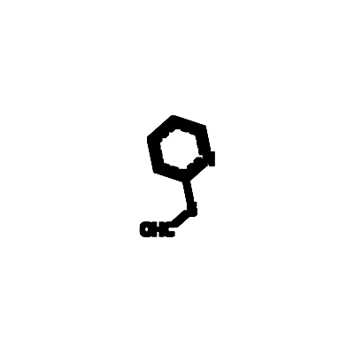 O=CSc1ccccn1